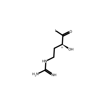 N=C(N)NCC[C@H](O)C(=O)I